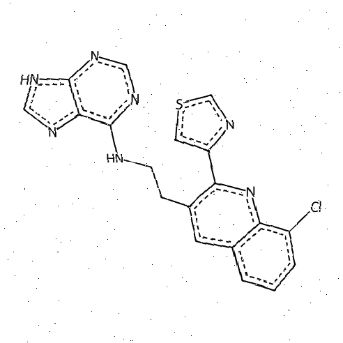 Clc1cccc2cc(CCNc3ncnc4[nH]cnc34)c(-c3cscn3)nc12